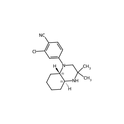 CC1(C)CN(c2ccc(C#N)c(Cl)c2)[C@H]2CCCC[C@@H]2N1